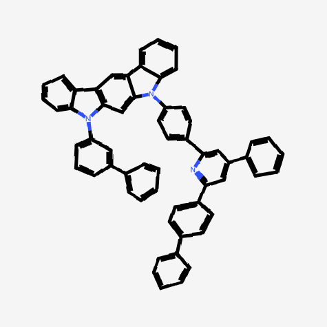 c1ccc(-c2ccc(-c3cc(-c4ccccc4)cc(-c4ccc(-n5c6ccccc6c6cc7c8ccccc8n(-c8cccc(-c9ccccc9)c8)c7cc65)cc4)n3)cc2)cc1